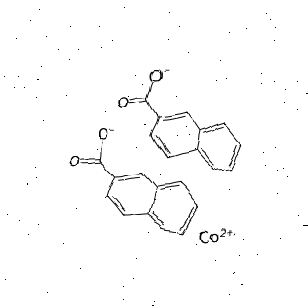 O=C([O-])c1ccc2ccccc2c1.O=C([O-])c1ccc2ccccc2c1.[Co+2]